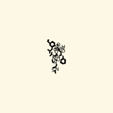 C=Cc1ccc(S(=O)(=O)NC[C@@H](O)[C@H](Cc2ccccc2)NC(=O)[C@H](C(C)C)N2CCN(Cc3csc(C)n3)C2=O)c(CC(C)C)c1